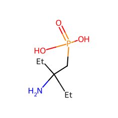 CCC(N)(CC)CP(=O)(O)O